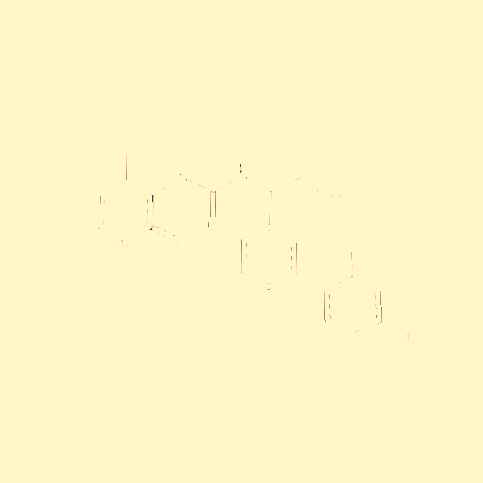 Cc1cc(O)c(NC(=O)NC(CC(=O)O)c2cccc(-c3ccc(F)cc3F)c2)c(=O)[nH]1